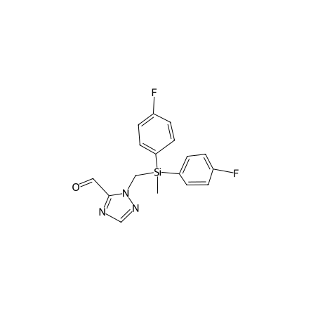 C[Si](Cn1ncnc1C=O)(c1ccc(F)cc1)c1ccc(F)cc1